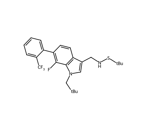 CC(C)(C)Cn1cc(CNSC(C)(C)C)c2ccc(-c3ccccc3C(F)(F)F)c(F)c21